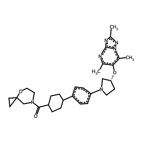 Cc1nc2nc(C)c(O[C@@H]3CCN(c4ccc(C5CCC(C(=O)N6CCOC7(CC7)C6)CC5)cc4)C3)c(C)n2n1